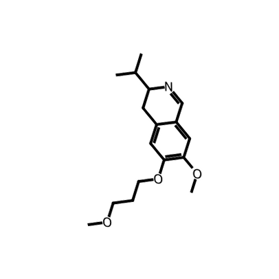 COCCCOc1cc2c(cc1OC)C=NC(C(C)C)C2